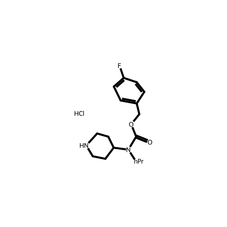 CCCN(C(=O)OCc1ccc(F)cc1)C1CCNCC1.Cl